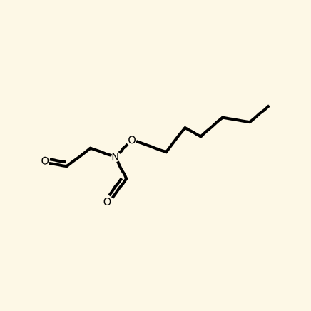 CCCCCCON(C=O)CC=O